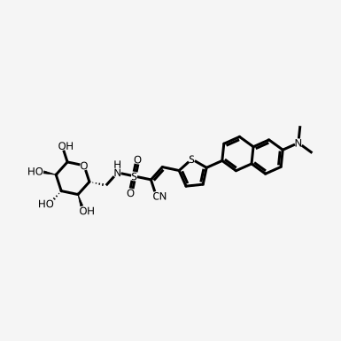 CN(C)c1ccc2cc(-c3ccc(/C=C(\C#N)S(=O)(=O)NC[C@H]4OC(O)[C@H](O)[C@@H](O)[C@@H]4O)s3)ccc2c1